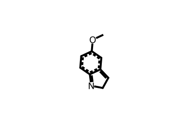 COc1ccc2c(c1)=CCN=2